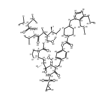 CC[C@H](C)[C@@H]([C@@H](CC(=O)N1CCC[C@H]1[C@H](OC)[C@@H](C)C(=O)N[C@@H](Cc1ccc(OC(=O)N2CCC(Cn3nnc(CSC)c3CSC)CC2)cc1)C(=O)NS(=O)(=O)C1CC1)OC)N(C)C(=O)[C@@H](NC(=O)[C@H](C(C)C)N(C)C)C(C)C